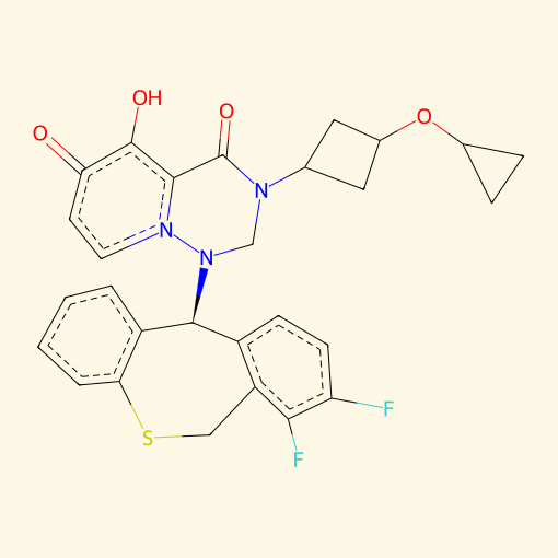 O=C1c2c(O)c(=O)ccn2N([C@@H]2c3ccccc3SCc3c2ccc(F)c3F)CN1C1CC(OC2CC2)C1